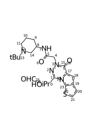 CC(C)c1nn(CC(=O)NC2CCCN(C(C)(C)C)C2)c(=O)c2cc3ccsc3n12.O=CO